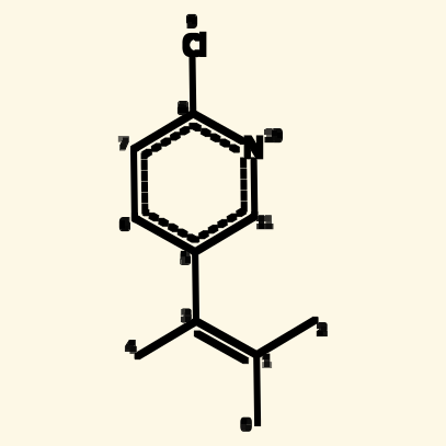 CC(C)=C(C)c1ccc(Cl)nc1